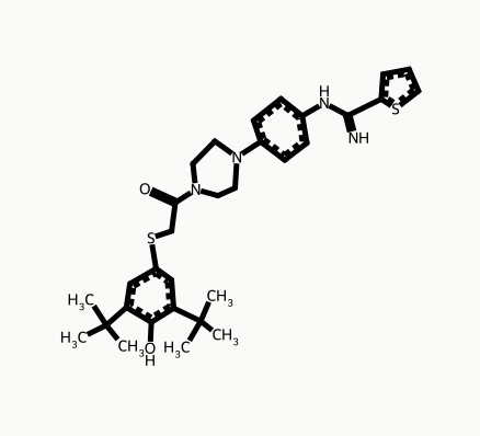 CC(C)(C)c1cc(SCC(=O)N2CCN(c3ccc(NC(=N)c4cccs4)cc3)CC2)cc(C(C)(C)C)c1O